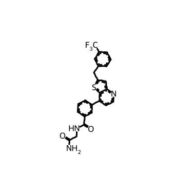 NC(=O)CNC(=O)c1cccc(-c2ccnc3cc(Cc4cccc(C(F)(F)F)c4)sc23)c1